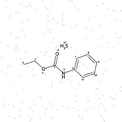 CCOC(=O)Nc1ccccc1.S